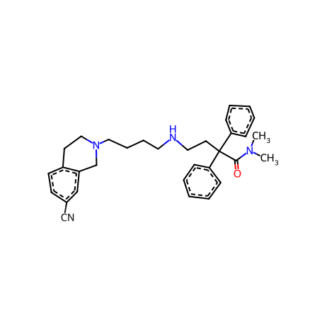 CN(C)C(=O)C(CCNCCCCN1CCc2ccc(C#N)cc2C1)(c1ccccc1)c1ccccc1